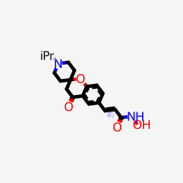 CC(C)N1CCC2(CC1)CC(=O)c1cc(/C=C/C(=O)NO)ccc1O2